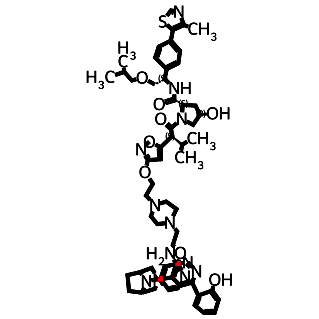 Cc1ncsc1-c1ccc([C@@H](COCC(C)C)NC(=O)[C@@H]2C[C@@H](O)CN2C(=O)[C@H](c2cc(OCCN3CCN(CCOc4cc(N5C6CCC5CN(c5cc(-c7ccccc7O)nnc5N)C6)ccn4)CC3)no2)C(C)C)cc1